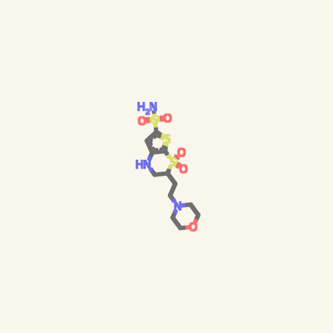 NS(=O)(=O)c1cc2c(s1)S(=O)(=O)C(CCN1CCOCC1)CN2